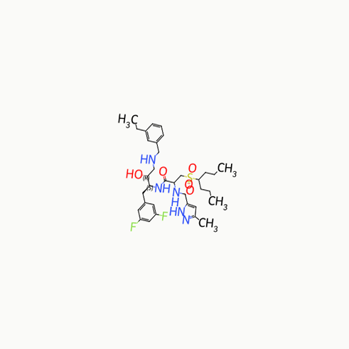 CCCC(CCC)S(=O)(=O)CC(NC(=O)c1cc(C)n[nH]1)C(=O)N[C@@H](Cc1cc(F)cc(F)c1)[C@H](O)CNCc1cccc(CC)c1